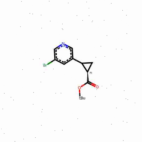 CC(C)(C)OC(=O)[C@@H]1CC1c1cncc(Br)c1